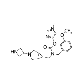 Cn1cnc(OC(=O)N(Cc2cccc(OC(F)(F)F)c2)CC2C3CN(C4CNC4)CC23)c1